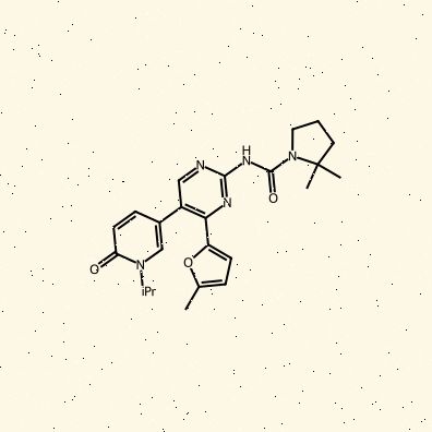 Cc1ccc(-c2nc(NC(=O)N3CCCC3(C)C)ncc2-c2ccc(=O)n(C(C)C)c2)o1